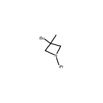 CCC(C)C1(C)CN(C(C)C)C1